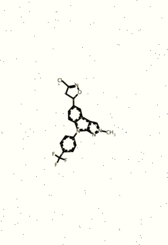 Cn1cc2c3cc(C4CC(Cl)=NO4)ccc3n(-c3ccc(C(F)(F)F)cc3)c2n1